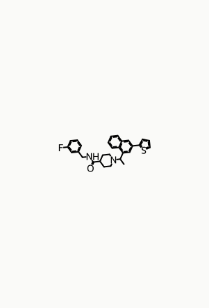 CC(c1cc(-c2cccs2)cc2ccccc12)N1CCC(C(=O)NCc2cccc(F)c2)CC1